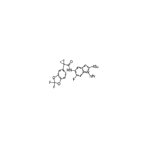 CCCn1c(C(C)(C)C)cc2cc(NC(=O)C3(c4ccc5c(c4)OC(F)(F)O5)CC3)c(F)cc21